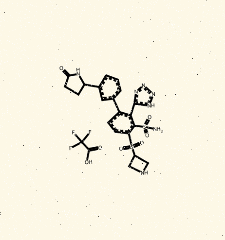 NS(=O)(=O)c1c(S(=O)(=O)C2CNC2)ccc(-c2cccc(C3CCC(=O)N3)c2)c1-c1nnn[nH]1.O=C(O)C(F)(F)F